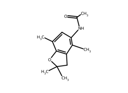 CC(=O)Nc1cc(C)c2c(c1C)CC(C)(C)O2